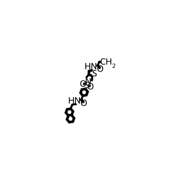 C=CC(=O)Nc1cc2c(s1)CN(S(=O)(=O)c1ccc(C(=O)NCCc3ccc4ccccc4c3)cc1)C2